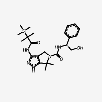 CC1(C)c2[nH]nc(NC(=O)C(C)(C)[Si](C)(C)C)c2CN1C(=O)N[C@H](CO)c1ccccc1